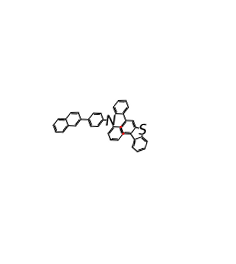 c1ccc(N(c2ccc(-c3ccc4ccccc4c3)cc2)c2ccccc2-c2ccc3c(c2)sc2ccccc23)cc1